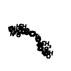 COc1cc2nn(C3CCC(CN4CCC(c5cc6ccc(N7CCC(=O)NC7=O)cc6n5C)CC4)CC3)cc2cc1C(=O)Nc1cnc2cccnn12